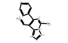 C=Cc1c(-c2ccccc2)nc(N)n2ncnc12